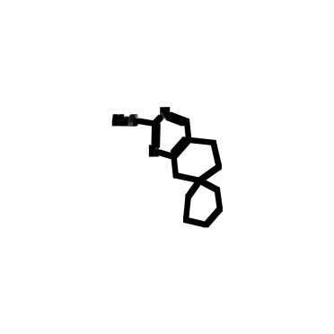 CSc1ncc2c(n1)CC1(CCCCC1)CC2